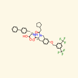 O=C(O)[C@H](Cc1ccc(-c2ccccc2)cc1)NC(=O)[C@@H]1Cc2ccc(OCc3cc(C(F)(F)F)cc(C(F)(F)F)c3)cc2CN1C(=O)CC1CCCC1